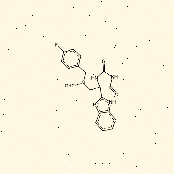 O=CN(Cc1ccc(F)cc1)CC1(c2nc3ccccc3[nH]2)NC(=O)NC1=O